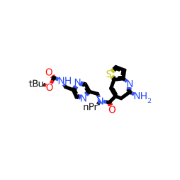 CCCN(Cc1cnc(CNC(=O)OC(C)(C)C)cn1)C(=O)C1=Cc2sccc2N=C(N)C1